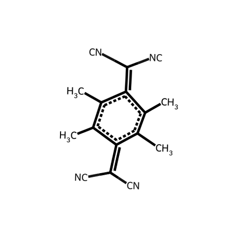 [C-]#[N+]C([N+]#[C-])=c1c(C)c(C)c(=C(C#N)C#N)c(C)c1C